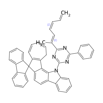 C=C/C=C\C=C(/C)c1nc(-c2ccccc2)nc(-n2c3ccccc3c3ccc4c(c32)C2=C(C=CC=CC2)C42c3ccccc3-c3ccccc32)n1